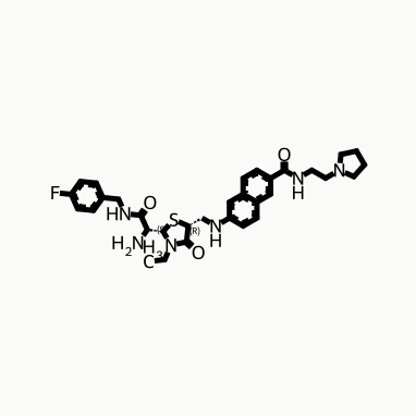 CCN1C(=O)[C@@H](CNc2ccc3cc(C(=O)NCCN4CCCC4)ccc3c2)S[C@H]1C(N)C(=O)NCc1ccc(F)cc1